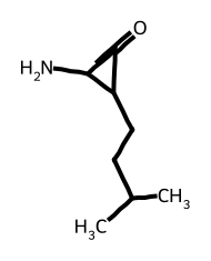 CC(C)CCC1C(=O)C1N